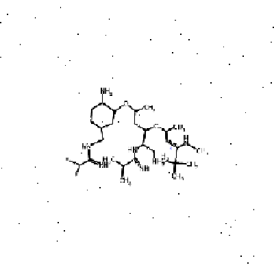 CN/C(=C\C(C)OC(CC(C)OC1CC(CNC(=N)C(F)F)CCC1N)C(CN)NC(=N)C(C)C)C(C)(C)C